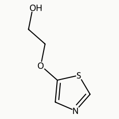 OCCOc1cncs1